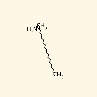 CCCCCCCCCCCCCCCCCCCN(C)N